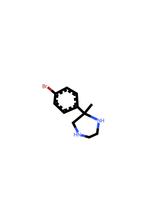 CC1(c2ccc(Br)cc2)CNCCN1